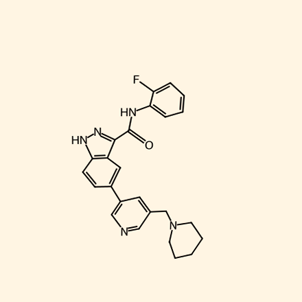 O=C(Nc1ccccc1F)c1n[nH]c2ccc(-c3cncc(CN4CCCCC4)c3)cc12